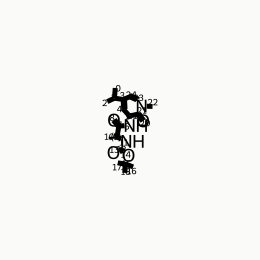 CC(C)C1=CC(NC(=O)[C@H](C)NC(=O)OC(C)(C)C)C(=O)N(C)C=C1